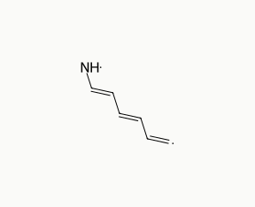 [CH]=CC=CC=C[NH]